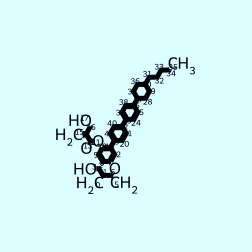 C=C(CO)C(=C)Oc1ccc(OC(=O)C(=C)CO)c(-c2ccc(-c3ccc(C4CCC(CCCCC)CC4)cc3)cc2)c1